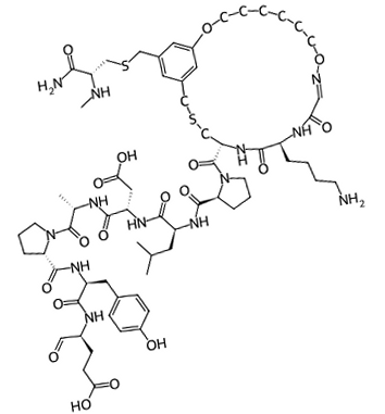 CN[C@@H](CSCc1cc2cc(c1)OCCCCCCO/N=C/C(=O)N[C@@H](CCCCN)C(=O)N[C@H](C(=O)N1CCC[C@H]1C(=O)N[C@@H](CC(C)C)C(=O)N[C@@H](CC(=O)O)C(=O)N[C@@H](C)C(=O)N1CCC[C@H]1C(=O)N[C@@H](Cc1ccc(O)cc1)C(=O)N[C@H](C=O)CCC(=O)O)CSC2)C(N)=O